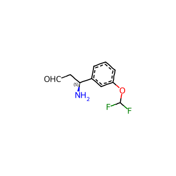 N[C@@H](CC=O)c1cccc(OC(F)F)c1